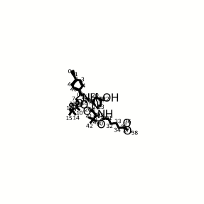 C#Cc1ccc([C@H](CO[Si](C)(C)C(C)(C)C)NC(=O)[C@@H]2C[C@@H](O)CN2C(=O)[C@@H](NC(=O)CCCCC(=O)OC)C(C)(C)C)cc1